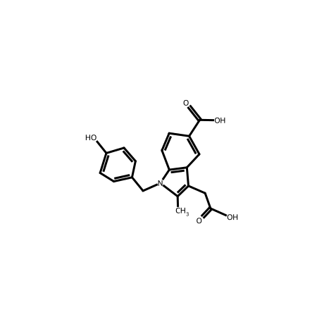 Cc1c(CC(=O)O)c2cc(C(=O)O)ccc2n1Cc1ccc(O)cc1